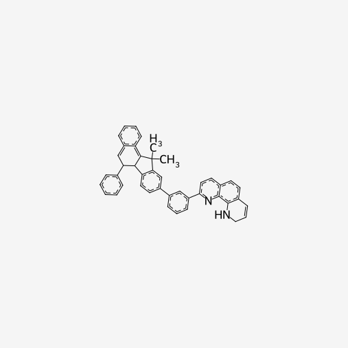 CC1(C)C2=c3ccccc3=CC(c3ccccc3)C2c2ccc(-c3cccc(-c4ccc5ccc6c(c5n4)NCC=C6)c3)cc21